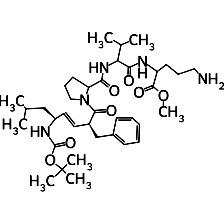 COC(=O)C(CCCN)NC(=O)C(NC(=O)C1CCCN1C(=O)[C@H](/C=C/[C@H](CC(C)C)NC(=O)OC(C)(C)C)Cc1ccccc1)C(C)C